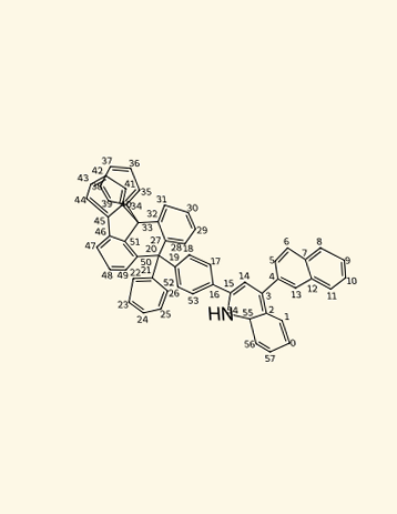 C1=CC2=C(c3ccc4ccccc4c3)C=C(c3ccc(C4(c5ccccc5)c5ccccc5C5(c6ccccc6)c6ccccc6-c6cccc4c65)cc3)NC2C=C1